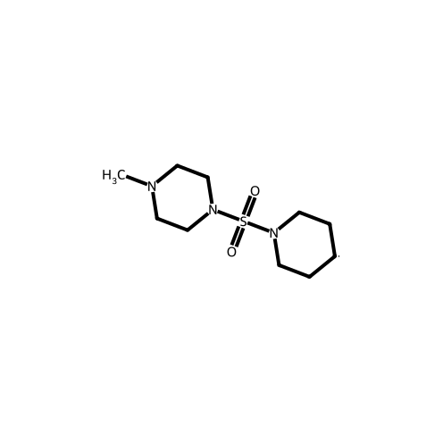 CN1CCN(S(=O)(=O)N2CC[CH]CC2)CC1